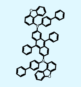 c1ccc(-c2ccc(N(c3ccc4c(-c5ccccc5)c5cc(N(c6ccc(-c7ccccc7)cc6)c6cccc7oc8ccccc8c67)ccc5c(-c5ccccc5)c4c3)c3cccc4oc5ccccc5c34)cc2)cc1